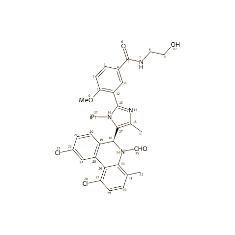 COc1ccc(C(=O)NCCO)cc1-c1nc(C)c([C@@H]2c3ccc(Cl)cc3-c3c(Cl)ccc(C)c3N2C=O)n1C(C)C